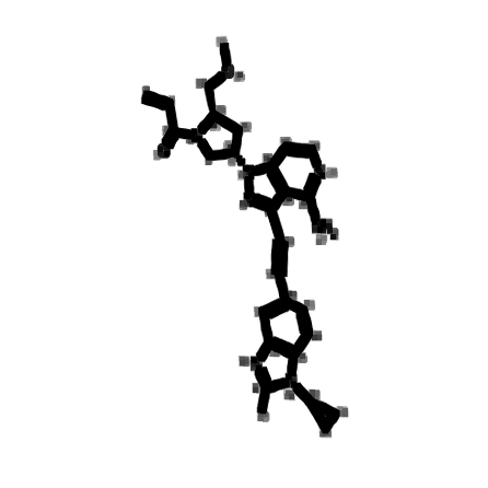 C=CC(=O)N1C[C@@H](n2nc(C#Cc3ccc4c(c3)nc(C)n4C3CC3)c3c(N)nccc32)C[C@@H]1COC